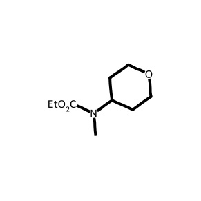 CCOC(=O)N(C)C1CCOCC1